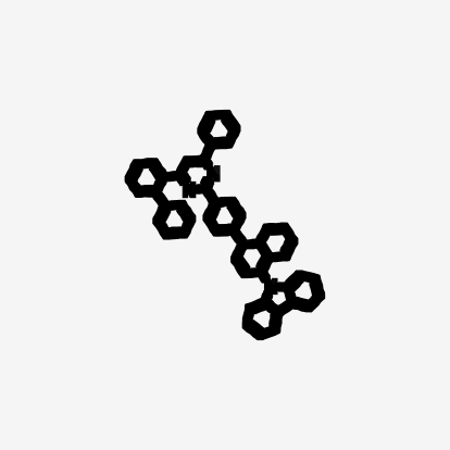 C1=CC2=C(n3c4ccccc4c4ccccc43)C=CC(c3ccc(-c4nc(-c5ccccc5)cc(-c5ccccc5-c5ccccc5)n4)cc3)C2C=C1